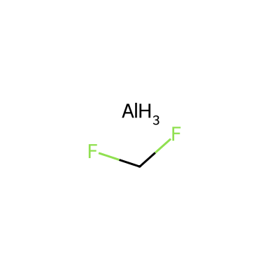 FCF.[AlH3]